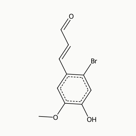 COc1cc(/C=C/C=O)c(Br)cc1O